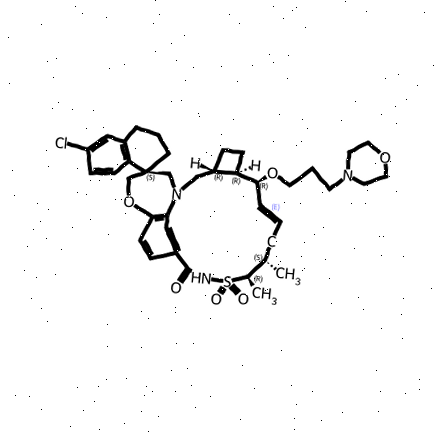 C[C@@H]1[C@@H](C)C/C=C/[C@H](OCCCN2CCOCC2)[C@@H]2CC[C@H]2CN2C[C@@]3(CCCc4cc(Cl)ccc43)COc3ccc(cc32)C(=O)NS1(=O)=O